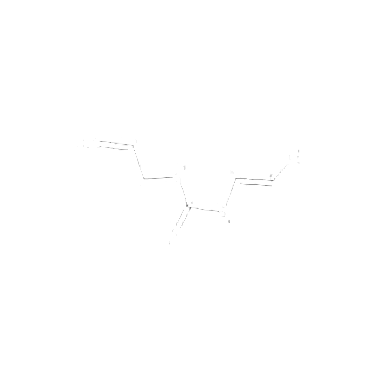 C=CCSC(=S)SC=CCC